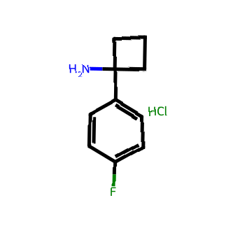 Cl.NC1(c2ccc(F)cc2)CCC1